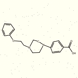 O=C(O)c1ccc(N2CCN(CCOc3ccccc3)CC2)cc1